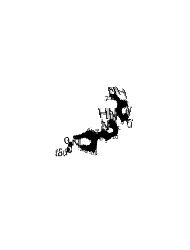 CC(C)(C)OC(=O)N1CC=C(c2cccc(Nc3cc(Cl)ncc3C=N)n2)CC1